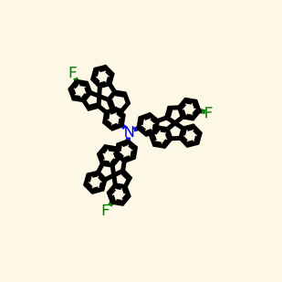 Fc1ccc2c(c1)C1(C3=CCCC=C3c3ccccc31)C(c1ccc(N(c3ccc(C4=Cc5ccc(F)cc5C45c4ccccc4-c4ccccc45)cc3)c3ccc(C4=Cc5ccc(F)cc5C45c4ccccc4-c4ccccc45)cc3)cc1)=C2